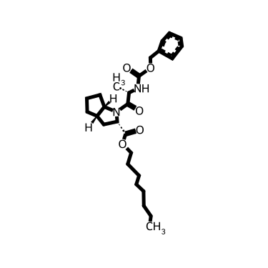 CCCCCCCCOC(=O)[C@@H]1C[C@@H]2CCC[C@@H]2N1C(=O)[C@H](C)NC(=O)OCc1ccccc1